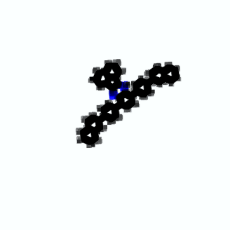 c1ccc2cc(-c3ccc(-c4ccc(-c5ccc(-c6ccc7ccccc7c6)cc5)c5nc6c(nc45)-c4cccc5cccc-6c45)cc3)ccc2c1